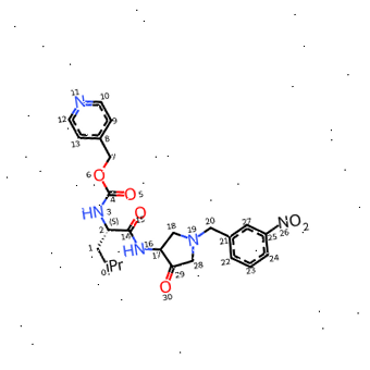 CC(C)C[C@H](NC(=O)OCc1ccncc1)C(=O)NC1CN(Cc2cccc([N+](=O)[O-])c2)CC1=O